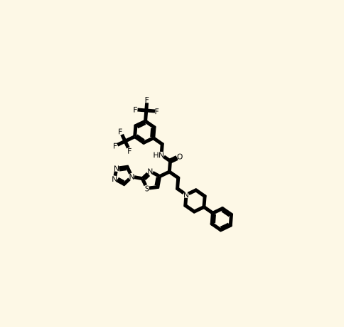 O=C(NCc1cc(C(F)(F)F)cc(C(F)(F)F)c1)C(CCN1CCC(c2ccccc2)CC1)c1csc(-n2cnnc2)n1